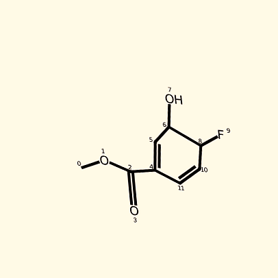 COC(=O)C1=CC(O)C(F)C=C1